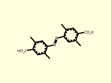 Cc1cc(C(=O)O)c(C)cc1/N=N/c1cc(C)c(C(=O)O)cc1C